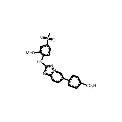 COc1cc(S(C)(=O)=O)ccc1Nc1nc2ccc(-c3ccc(C(=O)O)cc3)cn2n1